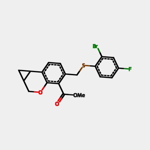 COC(=O)c1c(CSc2ccc(F)cc2Br)ccc2c1OCC1CC21